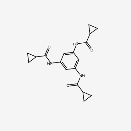 O=C(Nc1cc(NC(=O)C2CC2)cc(NC(=O)C2CC2)c1)C1CC1